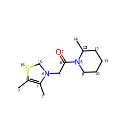 CC1=C(C)N(CC(=O)N2CCCCC2C)CS1